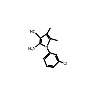 Cc1c(C#N)c(N)n(-c2cccc(Cl)c2)c1C